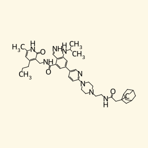 CCCc1cc(C)[nH]c(=O)c1CNC(=O)c1cc(-c2ccc(N3CCN(CCNC(=O)CC45CC6CC(CC4C6)C5)CC3)nc2)cc(NC(C)C)c1C=N